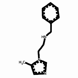 Cc1cncn1CCNCc1ccccc1